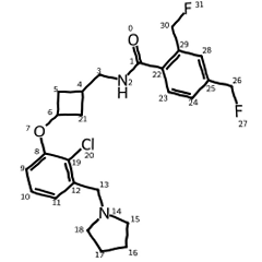 O=C(NCC1CC(Oc2cccc(CN3CCCC3)c2Cl)C1)c1ccc(CF)cc1CF